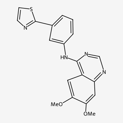 COc1cc2ncnc(Nc3cccc(-c4nccs4)c3)c2cc1OC